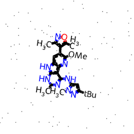 COc1nc2c3c([nH]c2cc1-c1c(C)noc1C)NC(C)N=C3Nc1cc(C(C)(C)C)nn1C